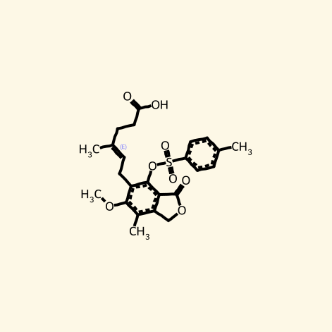 COc1c(C)c2c(c(OS(=O)(=O)c3ccc(C)cc3)c1C/C=C(\C)CCC(=O)O)C(=O)OC2